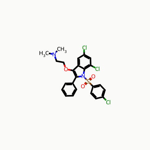 CN(C)CCOc1c(-c2ccccc2)n(S(=O)(=O)c2ccc(Cl)cc2)c2c(Cl)cc(Cl)cc12